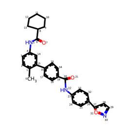 Cc1ccc(NC(=O)C2CCCCC2)cc1-c1ccc(C(=O)Nc2ccc(-c3ccno3)cc2)cc1